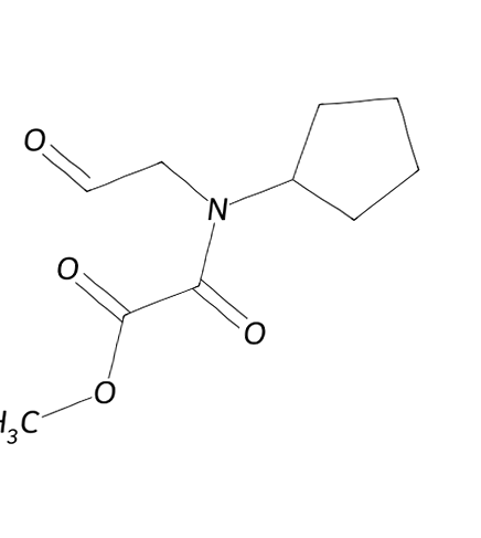 COC(=O)C(=O)N(CC=O)C1CCCC1